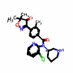 Cc1cc(C(=O)N(c2ncccc2Cl)[C@@H]2CCCNC2)ccc1C1=NOC(C)(C)C1=O